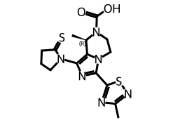 Cc1nsc(-c2nc(N3CCCC3=S)c3n2CCN(C(=O)O)[C@@H]3C)n1